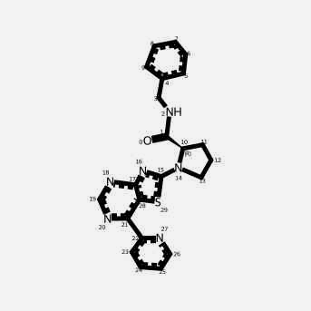 O=C(NCc1ccccc1)[C@H]1CCCN1c1nc2ncnc(-c3ccccn3)c2s1